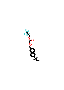 CCC(C)(C)c1ccc2cc(COCC(=O)OCC(F)(F)C(F)(F)F)ccc2c1